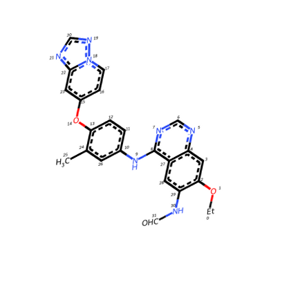 CCOc1cc2ncnc(Nc3ccc(Oc4ccn5ncnc5c4)c(C)c3)c2cc1NC=O